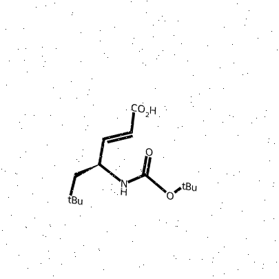 CC(C)(C)C[C@@H](C=CC(=O)O)NC(=O)OC(C)(C)C